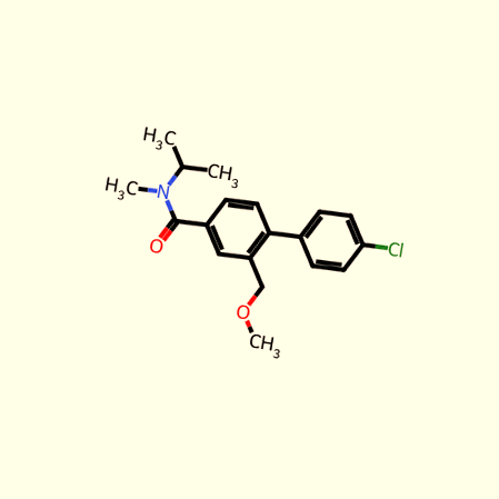 COCc1cc(C(=O)N(C)C(C)C)ccc1-c1ccc(Cl)cc1